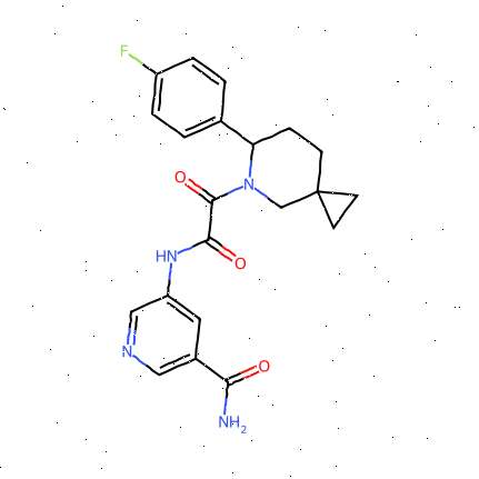 NC(=O)c1cncc(NC(=O)C(=O)N2CC3(CCC2c2ccc(F)cc2)CC3)c1